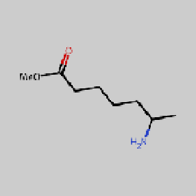 COC(=O)CCCCC(C)N